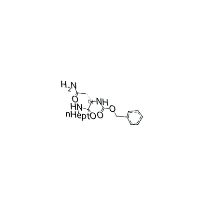 CCCCCCCNC(=O)[C@H](CC(N)=O)NC(=O)OCc1ccccc1